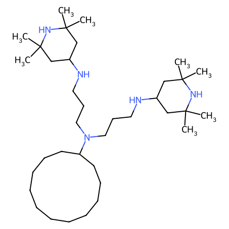 CC1(C)CC(NCCCN(CCCNC2CC(C)(C)NC(C)(C)C2)C2CCCCCCCCCCC2)CC(C)(C)N1